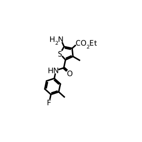 CCOC(=O)c1c(N)sc(C(=O)Nc2ccc(F)c(C)c2)c1C